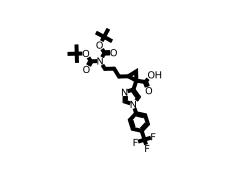 CC(C)(C)OC(=O)N(CCCC1CC1(C(=O)O)c1cn(-c2ccc(C(F)(F)F)cc2)cn1)C(=O)OC(C)(C)C